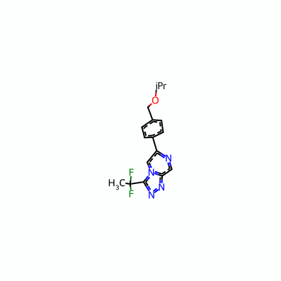 CC(C)OCc1ccc(-c2cn3c(C(C)(F)F)nnc3cn2)cc1